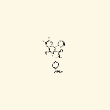 COc1ccc(CN(C)C(=O)c2c(-c3ccccc3)c3cc(C)c(C)cc3c(=O)n2C)cc1